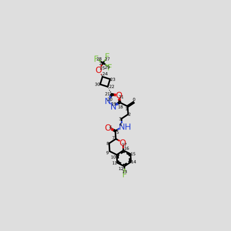 C=C(CCNC(=O)C1CCc2cc(F)ccc2O1)c1nnc([C@H]2C[C@@H](OC(F)(F)F)C2)o1